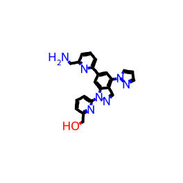 NCc1cccc(-c2cc(-n3cccn3)c3cnn(-c4cccc(CO)n4)c3c2)n1